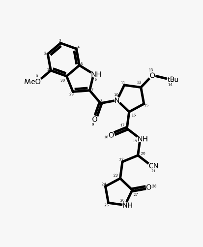 COc1cccc2[nH]c(C(=O)N3CC(OC(C)(C)C)CC3C(=O)NC(C#N)CC3CCNC3=O)cc12